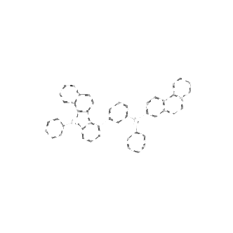 c1ccc(N(c2cccc(-c3cccc4c3c3ccc5ccccc5c3n4-c3ccccc3)c2)c2ccc3c(ccc4ccccc43)c2)cc1